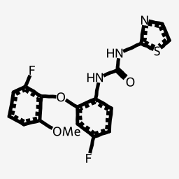 COc1cccc(F)c1Oc1cc(F)ccc1NC(=O)Nc1nccs1